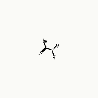 CC[S+]([O-])C(=S)S